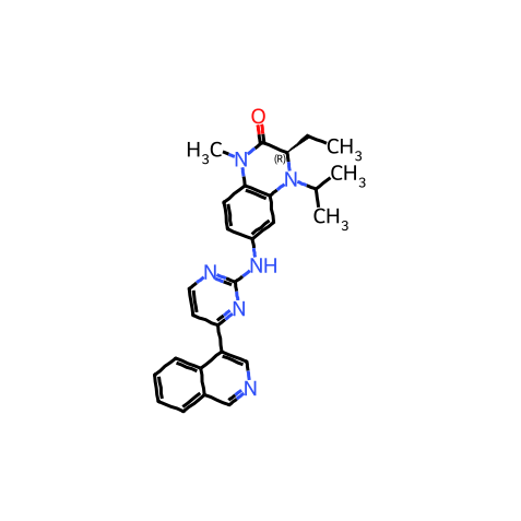 CC[C@@H]1C(=O)N(C)c2ccc(Nc3nccc(-c4cncc5ccccc45)n3)cc2N1C(C)C